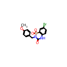 COc1ccc(CN2C(=O)Nc3ccc(Br)cc3S2(=O)=O)cc1